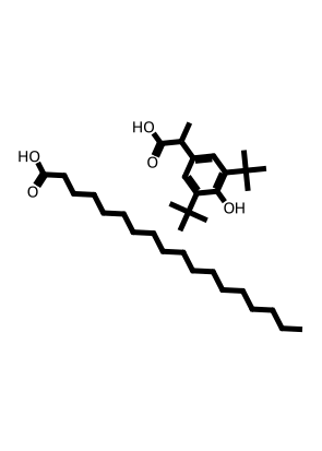 CC(C(=O)O)c1cc(C(C)(C)C)c(O)c(C(C)(C)C)c1.CCCCCCCCCCCCCCCCCC(=O)O